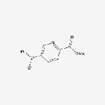 COC(=O)c1ccc([S+]([O-])C(C)C)cn1